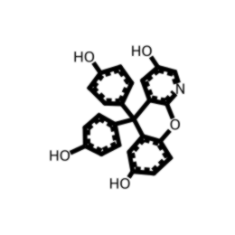 Oc1ccc(C2(c3ccc(O)cc3)c3cc(O)ccc3Oc3ncc(O)cc32)cc1